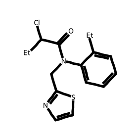 CCc1ccccc1N(Cc1nccs1)C(=O)C(Cl)CC